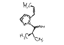 C/C=C\c1ccnn1C(=N)C(C)C